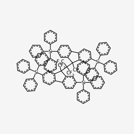 FC(F)(F)C1(C(C(F)(F)F)(C(F)(F)F)C2(C(F)(F)F)c3cc([Si](c4ccccc4)(c4ccccc4)c4ccccc4)ccc3-c3ccc([Si](c4ccccc4)(c4ccccc4)c4ccccc4)cc32)c2cc([Si](c3ccccc3)(c3ccccc3)c3ccccc3)ccc2-c2ccc([Si](c3ccccc3)(c3ccccc3)c3ccccc3)cc21